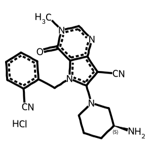 Cl.Cn1cnc2c(C#N)c(N3CCC[C@H](N)C3)n(Cc3ccccc3C#N)c2c1=O